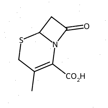 CC1=C(C(=O)O)N2C(=O)CC2SC1